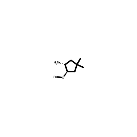 CC(C)O[C@@H]1CC(C)(C)C[C@H]1N